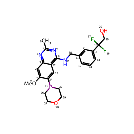 COc1cc2nc(C)nc(NCc3cccc(C(F)(F)CO)c3)c2cc1P1CCOCC1